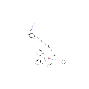 CO/N=C/c1cc(CNCCOCCCCC(=O)N[C@@H](CCc2ccccc2)C(=O)N[C@@H](CC(C)C)C(=O)N[C@@H](Cc2ccccc2)C(=O)N[C@@H](CC(C)C)C(=O)[C@@]2(C)CO2)ccc1OC(C)=O